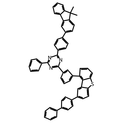 CC1(C)c2ccccc2-c2cc(-c3ccc(-c4nc(-c5ccccc5)nc(-c5cccc(-c6cccc7sc8ccc(-c9ccc(-c%10ccccc%10)cc9)cc8c67)c5)n4)cc3)ccc21